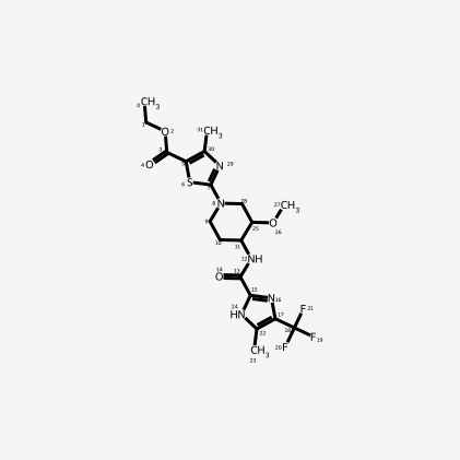 CCOC(=O)c1sc(N2CCC(NC(=O)c3nc(C(F)(F)F)c(C)[nH]3)C(OC)C2)nc1C